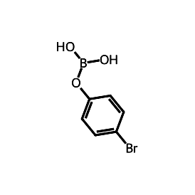 OB(O)Oc1ccc(Br)cc1